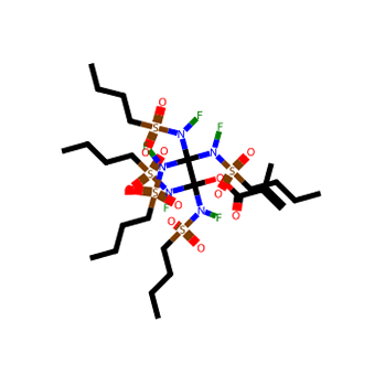 C=C(C)C(=O)OC(N(F)S(=O)(=O)CCCC)(N(F)S(=O)(=O)CCCC)C(N(F)S(=O)(=O)CCCC)(N(F)S(=O)(=O)CCCC)N(F)S(=O)(=O)CCCC